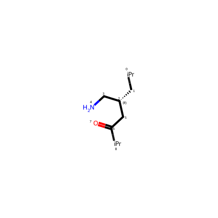 CC(C)C[C@@H](CN)CC(=O)C(C)C